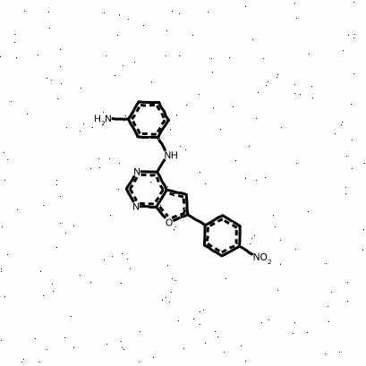 Nc1cccc(Nc2ncnc3oc(-c4ccc([N+](=O)[O-])cc4)cc23)c1